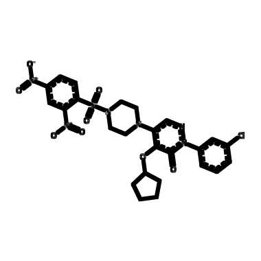 O=c1c(OC2CCCC2)c(N2CCN(S(=O)(=O)c3ccc([N+](=O)[O-])cc3[N+](=O)[O-])CC2)cnn1-c1cccc(Cl)c1